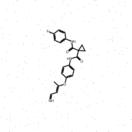 C/C(=C\C=N)Oc1ccc(NC(=O)C2(C(=O)Nc3ccc(F)cc3)CC2)cc1